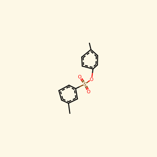 Cc1ccc(OS(=O)(=O)c2cccc(C)c2)cc1